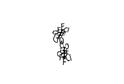 O=C(OOC(=O)C(F)(F)C(F)(Cl)C(F)(F)Cl)C(F)(F)C(F)(Cl)C(F)(F)Cl